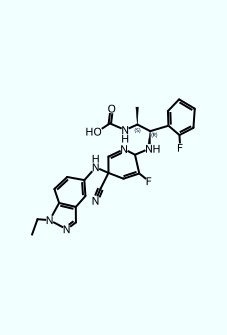 CCn1ncc2cc(NC3(C#N)C=NC(N[C@H](c4ccccc4F)[C@H](C)NC(=O)O)C(F)=C3)ccc21